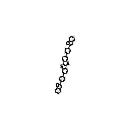 c1ccc2oc(-c3ccc(-c4ccc5c(c4)sc4c6ccc(-c7ccc(-c8cc9ccccc9o8)cc7)cc6sc54)cc3)cc2c1